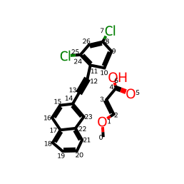 COC=CC(=O)O.Clc1ccc(C#Cc2ccc3ccccc3c2)c(Cl)c1